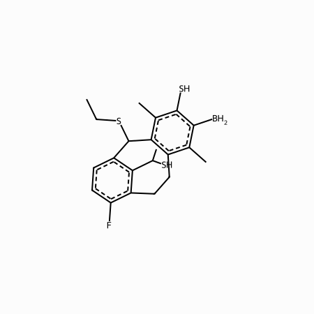 Bc1c(C)c2c(c(C)c1S)C(SCC)c1ccc(F)c(c1C(C)S)CC2